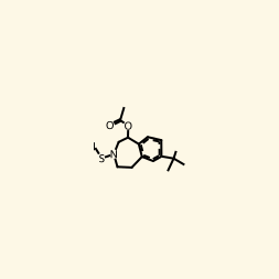 CC(=O)OC1CN(SI)CCc2cc(C(C)(C)C)ccc21